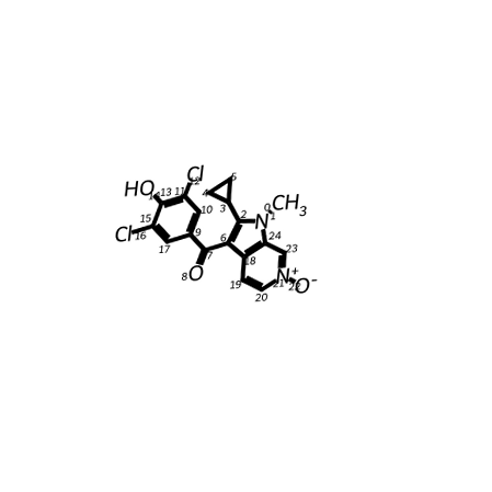 Cn1c(C2CC2)c(C(=O)c2cc(Cl)c(O)c(Cl)c2)c2cc[n+]([O-])cc21